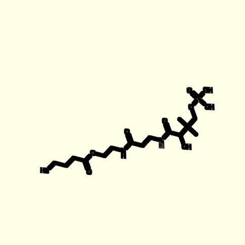 CC(C)(COP(=O)(O)O)C(O)C(=O)NCCC(=O)NCCOC(=O)CCCS